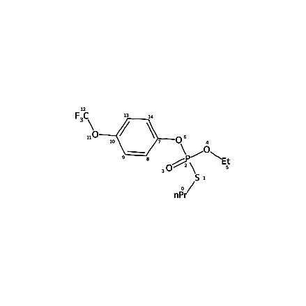 CCCSP(=O)(OCC)Oc1ccc(OC(F)(F)F)cc1